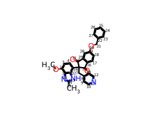 COc1ccc(C2(Cc3ccncc3)C(=O)c3ccc(OCc4ccccc4)cc3C2=O)c2[nH]c(C)nc12